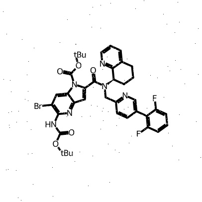 CC(C)(C)OC(=O)Nc1nc2cc(C(=O)N(Cc3ccc(-c4c(F)cccc4F)cn3)[C@@H]3CCCc4cccnc43)n(C(=O)OC(C)(C)C)c2cc1Br